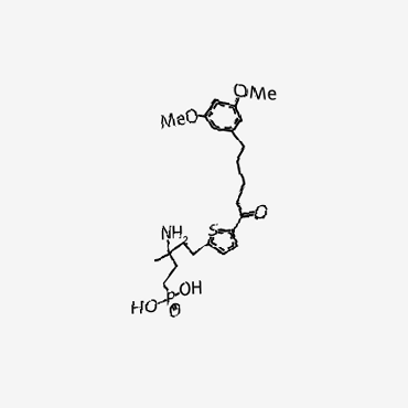 COc1cc(CCCCC(=O)c2ccc(CCC(C)(N)CCP(=O)(O)O)s2)cc(OC)c1